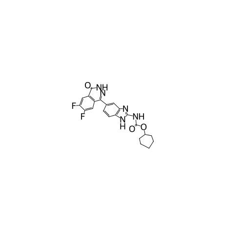 O=C(Nc1nc2cc(-c3n[nH]c(=O)c4cc(F)c(F)cc34)ccc2[nH]1)OC1CCCCC1